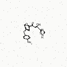 Nc1ccc(Sc2coc(C(=O)C=C(O)c3nc[nH]n3)c2)cc1